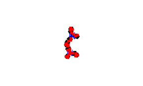 CC12C=CC(c3ccc(-c4nc(-c5ccccc5)nc(-c5ccc6ccccc6c5)n4)cc3)=CC1=CC(c1ccc(-c3nc(C4=CC=CCC4)nc(-c4ccc5ccccc5c4)n3)cc1)=CC2